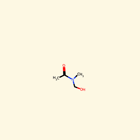 CC(=O)N(C)CO